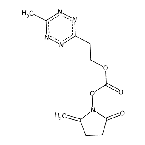 C=C1CCC(=O)N1OC(=O)OCCc1nnc(C)nn1